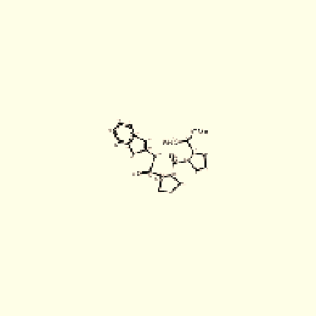 COC(OC)C1CCCN1C(=O)[C@@H]1CCCN1C(=O)CC1=Cc2ccccc2C1